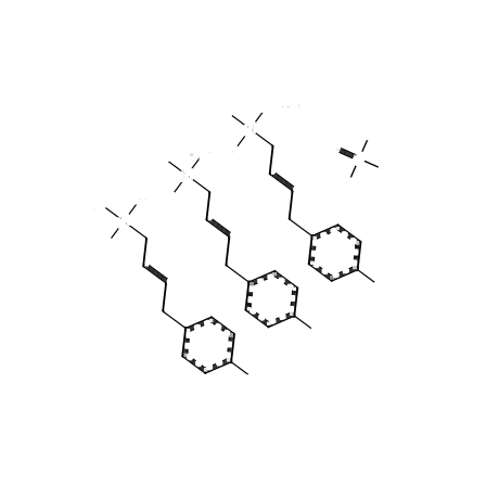 CCCCCCC[N+](CC)(CC)CC=CCc1ccc(Cl)cc1.CCCCCCC[N+](CC)(CC)CC=CCc1ccc(Cl)cc1.CCCCCCC[N+](CC)(CC)CC=CCc1ccc(Cl)cc1.O=P([O-])([O-])[O-]